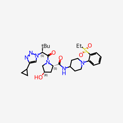 CCS(=O)(=O)c1ccccc1N1CCC(NC(=O)[C@@H]2C[C@@H](O)CN2C(=O)[C@@H](n2cc(C3CC3)nn2)C(C)(C)C)CC1